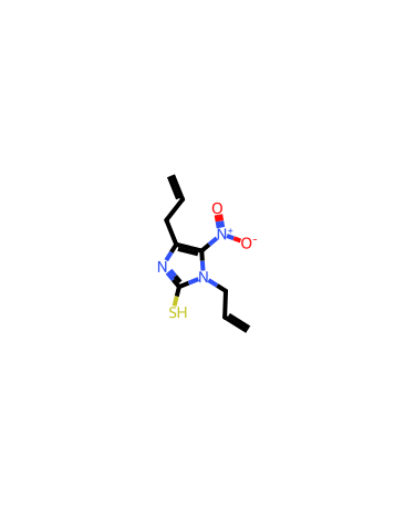 C=CCc1nc(S)n(CC=C)c1[N+](=O)[O-]